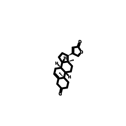 C[C@]12CC[C@H]3[C@@H](CC=C4CC(=O)CC[C@@]43C)[C@@H]1CC[C@@H]2C1=CC(=O)OC1